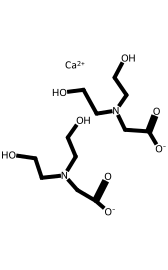 O=C([O-])CN(CCO)CCO.O=C([O-])CN(CCO)CCO.[Ca+2]